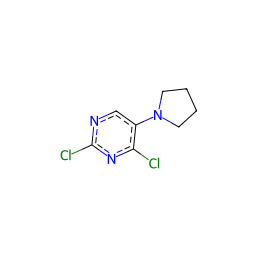 Clc1ncc(N2CCCC2)c(Cl)n1